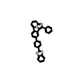 c1ccc(-c2nc3cccc4c5ccc(-c6ccc(-c7nc8ccccc8s7)cc6)cc5c2n34)cc1